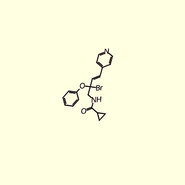 O=C(NCC(Br)(/C=C/c1ccncc1)Oc1ccccc1)C1CC1